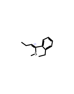 CC/C=C(\SC)c1ccccc1CC